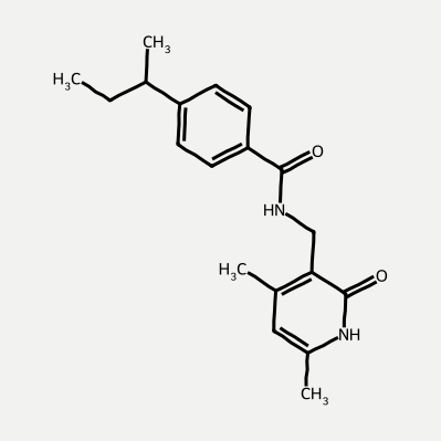 CCC(C)c1ccc(C(=O)NCc2c(C)cc(C)[nH]c2=O)cc1